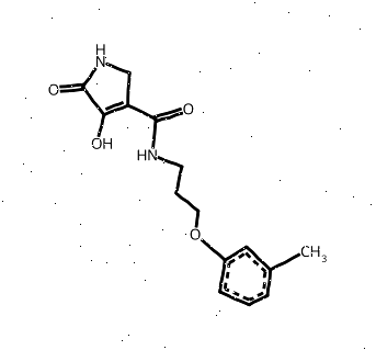 Cc1cccc(OCCCNC(=O)C2=C(O)C(=O)NC2)c1